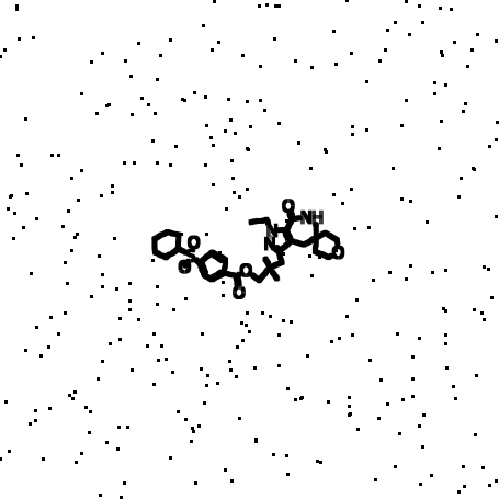 CCn1nc(CC(C)(C)COC(=O)c2ccc(S(=O)(=O)C3CCCCC3)cc2)c2c1C(=O)NCC1(CCOCC1)C2